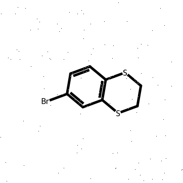 Brc1ccc2c(c1)SCCS2